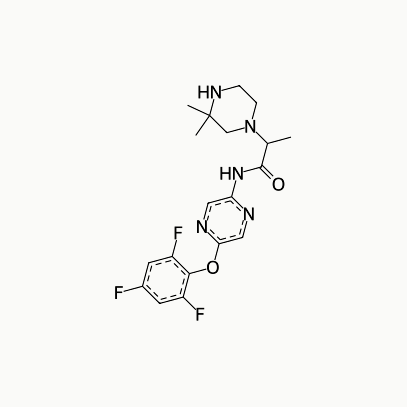 CC(C(=O)Nc1cnc(Oc2c(F)cc(F)cc2F)cn1)N1CCNC(C)(C)C1